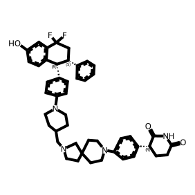 O=C1CC[C@H](c2ccc(N3CCC4(CCN(CC5CCN(c6ccc([C@@H]7c8ccc(O)cc8C(F)(F)C[C@@H]7c7ccccc7)cc6)CC5)C4)CC3)cc2)C(=O)N1